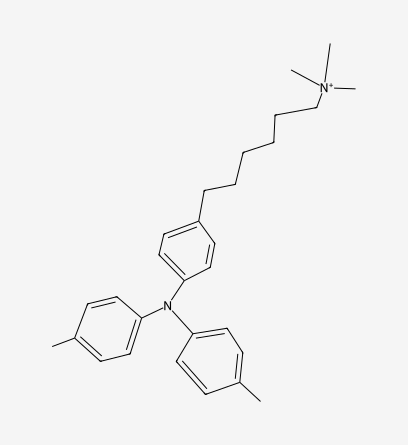 Cc1ccc(N(c2ccc(C)cc2)c2ccc(CCCCCC[N+](C)(C)C)cc2)cc1